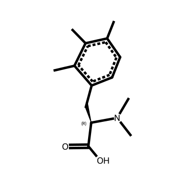 Cc1ccc(C[C@H](C(=O)O)N(C)C)c(C)c1C